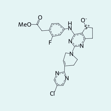 COC(=O)Cc1ccc(Nc2nc(N3CC=C(c4ncc(Cl)cn4)CC3)nc3c2[S+]([O-])CC3)cc1F